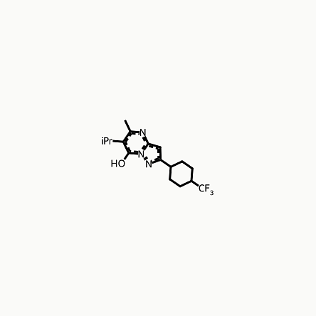 Cc1nc2cc(C3CCC(C(F)(F)F)CC3)nn2c(O)c1C(C)C